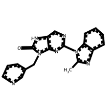 Cc1nc2ccccc2n1-c1ncc2[nH]c(=O)n(Cc3cccnc3)c2n1